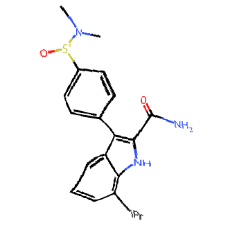 CC(C)c1cccc2c(-c3ccc([S+]([O-])N(C)C)cc3)c(C(N)=O)[nH]c12